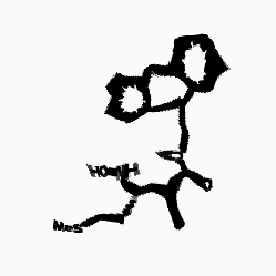 C=C(C(=O)OCC1c2ccccc2-c2ccccc21)[C@H](CCSC)NO